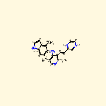 Cc1ncc(C#N)c(Nc2ccc3[nH]ccc3c2C)c1C=Cc1cnccn1